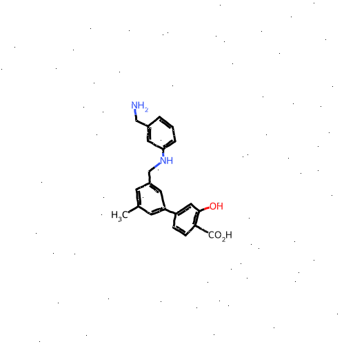 Cc1cc(CNc2cccc(CN)c2)cc(-c2ccc(C(=O)O)c(O)c2)c1